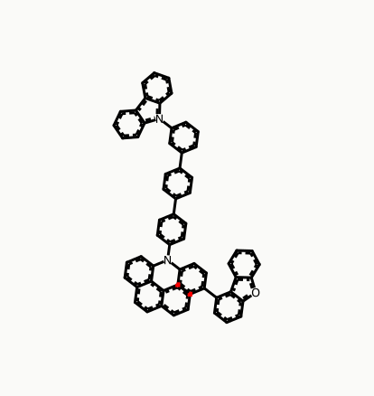 c1cc(-c2ccc(-c3ccc(N(c4ccc(-c5cccc6oc7ccccc7c56)cc4)c4cccc5ccc6ccccc6c45)cc3)cc2)cc(-n2c3ccccc3c3ccccc32)c1